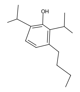 CCCCc1ccc(C(C)C)c(O)c1C(C)C